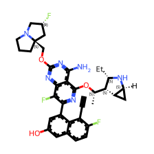 C#Cc1c(F)ccc2cc(O)cc(-c3nc(O[C@@H](C)[C@H]4C5C[C@@H]5N[C@H]4CC)c4c(N)nc(OC[C@@]56CCCN5C[C@H](F)C6)nc4c3F)c12